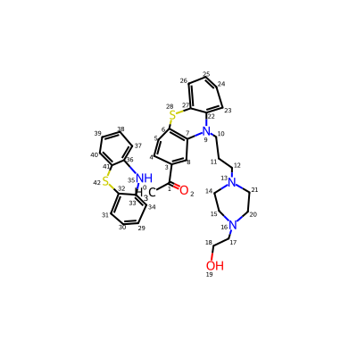 CC(=O)c1ccc2c(c1)N(CCCN1CCN(CCO)CC1)c1ccccc1S2.c1ccc2c(c1)Nc1ccccc1S2